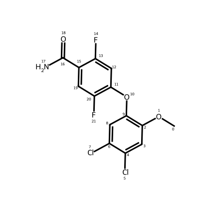 COc1cc(Cl)c(Cl)cc1Oc1cc(F)c(C(N)=O)cc1F